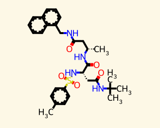 Cc1ccc(S(=O)(=O)N[C@@H](CC(=O)NC(C)(C)C)C(=O)N[C@@H](C)CC(=O)NCc2cccc3ccccc23)cc1